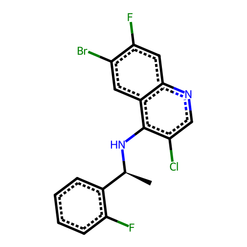 C[C@H](Nc1c(Cl)cnc2cc(F)c(Br)cc12)c1ccccc1F